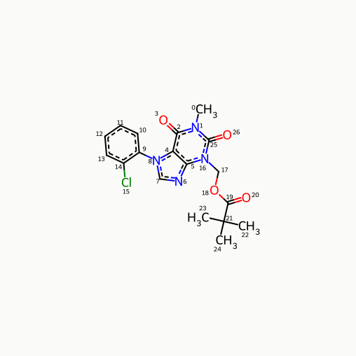 Cn1c(=O)c2c(ncn2-c2ccccc2Cl)n(COC(=O)C(C)(C)C)c1=O